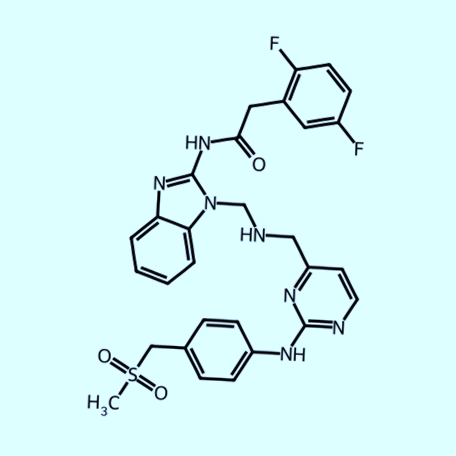 CS(=O)(=O)Cc1ccc(Nc2nccc(CNCn3c(NC(=O)Cc4cc(F)ccc4F)nc4ccccc43)n2)cc1